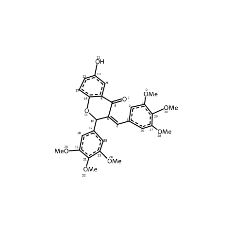 COc1cc(C=C2C(=O)c3cc(O)ccc3OC2c2cc(OC)c(OC)c(OC)c2)cc(OC)c1OC